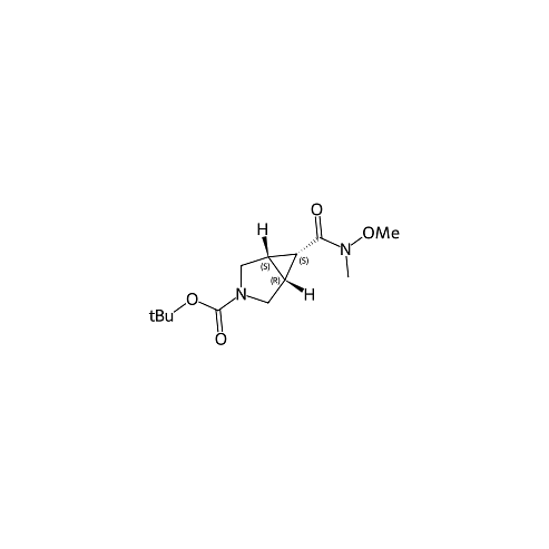 CON(C)C(=O)[C@@H]1[C@@H]2CN(C(=O)OC(C)(C)C)C[C@@H]21